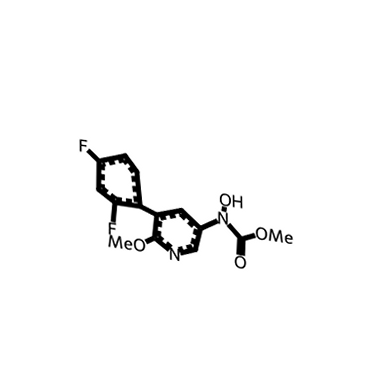 COC(=O)N(O)c1cnc(OC)c(-c2ccc(F)cc2F)c1